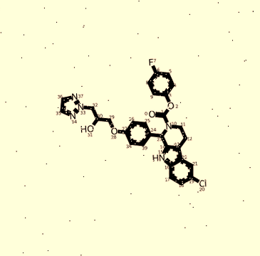 O=C(Oc1ccc(F)cc1)N1CCc2c([nH]c3ccc(Cl)cc23)C1c1ccc(OCC(O)Cn2nccn2)cc1